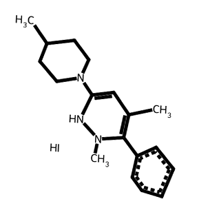 CC1=C(c2ccccc2)N(C)NC(N2CCC(C)CC2)=C1.I